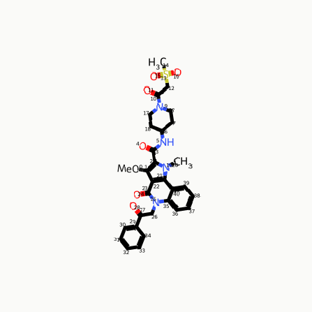 COc1c(C(=O)NC2CCN(C(=O)CS(C)(=O)=O)CC2)n(C)c2c1c(=O)n(CC(=O)c1ccccc1)c1ccccc21